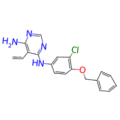 C=Cc1c(N)ncnc1Nc1ccc(OCc2ccccc2)c(Cl)c1